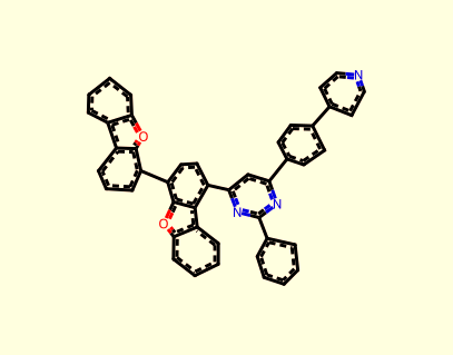 c1ccc(-c2nc(-c3ccc(-c4ccncc4)cc3)cc(-c3ccc(-c4cccc5c4oc4ccccc45)c4oc5ccccc5c34)n2)cc1